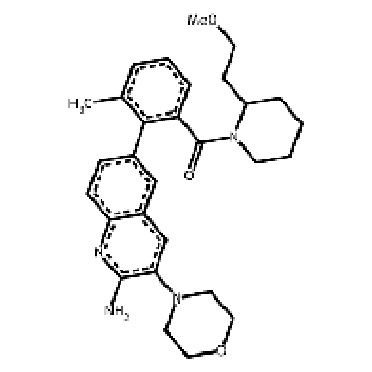 COCCC1CCCCN1C(=O)c1cccc(C)c1-c1ccc2nc(N)c(N3CCOCC3)cc2c1